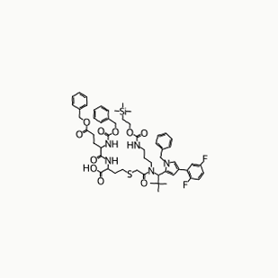 CC(C)(C)C(c1cc(-c2cc(F)ccc2F)cn1Cc1ccccc1)N(CCCNC(=O)OCC[Si](C)(C)C)C(=O)CSCCC(NC(=O)C(CCC(=O)OCc1ccccc1)NC(=O)OCc1ccccc1)C(=O)O